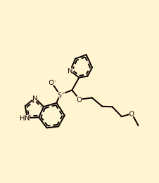 COCCCCOC(c1ccccn1)[S+]([O-])c1cccc2[nH]cnc12